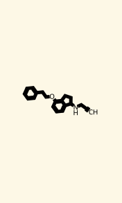 C#CCNC1CCc2c(OCCc3ccccc3)cccc21